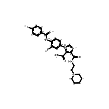 NC(=O)c1c(C(=O)NCCN2CCCCC2)ncn1-c1ccc(NC(=O)c2ccc(F)cc2)c(F)c1